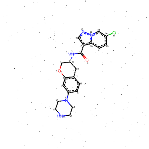 O=C(N[C@H]1COc2cc(N3CCNCC3)ccc2C1)c1cnn2cc(Cl)ccc12